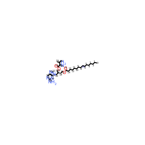 CCCCCC/C=C/CCCCCCCC(=O)OCC[C@@H](COC(=O)[C@@H](N)C(C)C)Cn1cnc2cnc(N)nc21